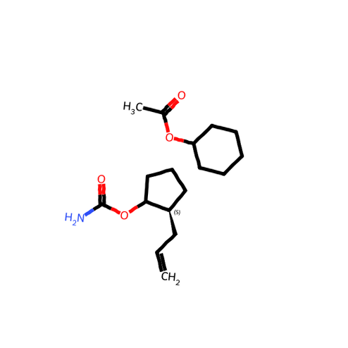 C=CC[C@@H]1CCCC1OC(N)=O.CC(=O)OC1CCCCC1